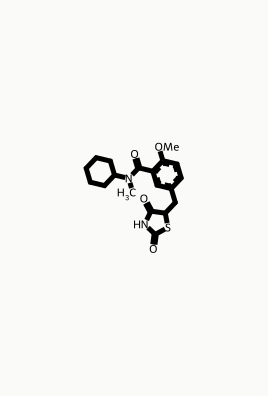 COc1ccc(CC2SC(=O)NC2=O)cc1C(=O)N(C)C1CCCCC1